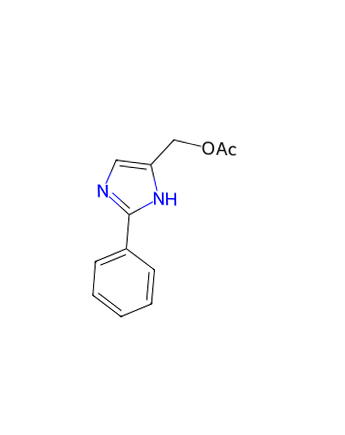 CC(=O)OCc1cnc(-c2ccccc2)[nH]1